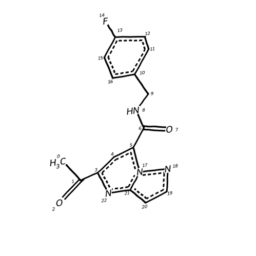 CC(=O)c1cc(C(=O)NCc2ccc(F)cc2)n2nccc2n1